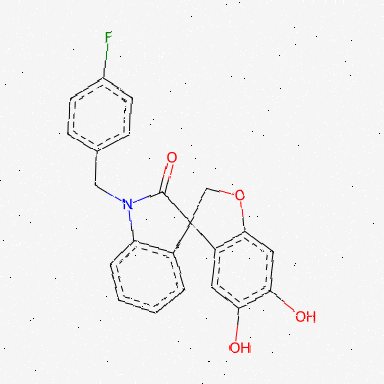 O=C1N(Cc2ccc(F)cc2)c2ccccc2C12COc1cc(O)c(O)cc12